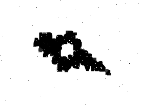 CC(C)C[C@H]1C(=O)O[C@H](Cc2ccc(Cn3nc(C4CC4)c([N+](=O)[O-])c3C3CC3)cc2)C(=O)N(C)[C@@H](CC(C)C)C(=O)O[C@H](C)C(=O)N(C)[C@@H](CC(C)C)C(=O)O[C@H](Cc2ccc(Cn3nc(C4CC4)c([N+](=O)[O-])c3C3CC3)cc2)C(=O)N(C)[C@@H](CC(C)C)C(=O)O[C@H](C)C(=O)N1C